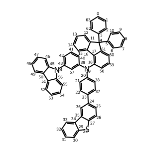 c1ccc(C2(c3ccccc3)c3ccccc3-c3c(N(c4ccc(-c5ccc6sc7ccccc7c6c5)cc4)c4cccc(-n5c6ccccc6c6ccccc65)c4)cccc32)cc1